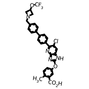 Cc1ccc(Oc2nc3nc(-c4ccc(-c5ccc(CN6CC(OC(F)(F)F)C6)cc5)cc4)c(Cl)cc3[nH]2)cc1C(=O)O